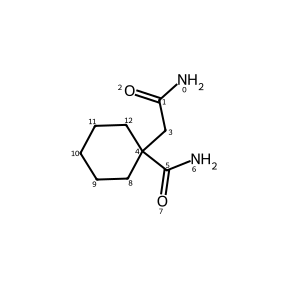 NC(=O)CC1(C(N)=O)CCCCC1